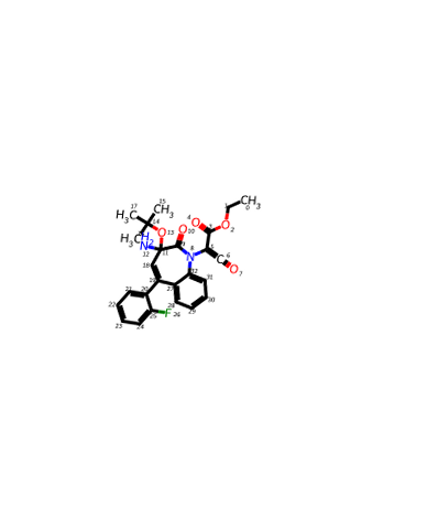 CCOC(=O)C(=C=O)N1C(=O)C(N)(OC(C)(C)C)C=C(c2ccccc2F)c2ccccc21